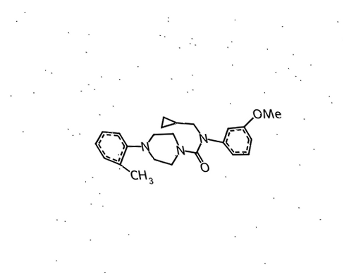 COc1cccc(N(CC2CC2)C(=O)N2CCN(c3ccccc3C)CC2)c1